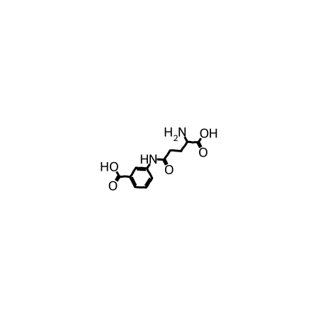 NC(CCC(=O)Nc1cccc(C(=O)O)c1)C(=O)O